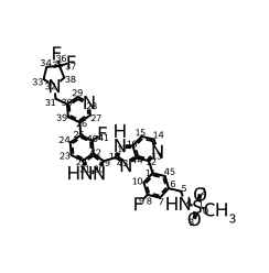 CS(=O)(=O)NCc1cc(F)cc(-c2nccc3[nH]c(-c4n[nH]c5ccc(-c6cncc(CN7CCC(F)(F)C7)c6)c(F)c45)nc23)c1